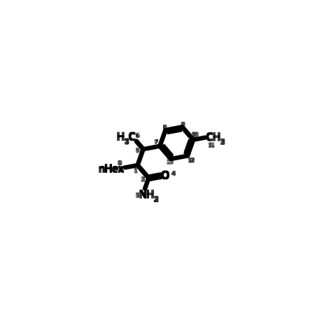 CCCCCCC(C(N)=O)C(C)c1ccc(C)cc1